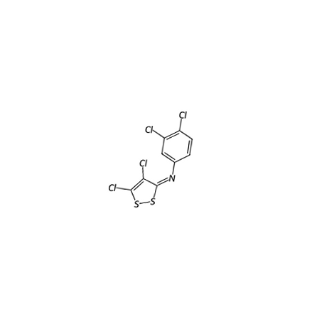 Clc1ccc(N=c2ssc(Cl)c2Cl)cc1Cl